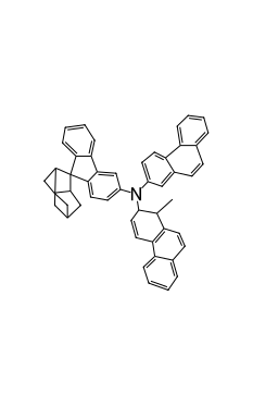 CC1c2ccc3ccccc3c2C=CC1N(c1ccc2c(c1)-c1ccccc1C21C2CC3CC(C2)C1C3)c1ccc2c(ccc3ccccc32)c1